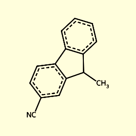 CC1c2ccccc2-c2ccc(C#N)cc21